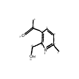 CC(=O)c1ccc(C)nc1CO